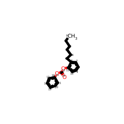 CCCCCCc1ccccc1OC(=O)Oc1ccccc1